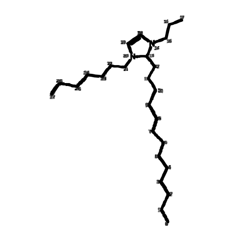 CCCCCCCCCCCCCC1N(CCC)C=CN1CCCCCCC